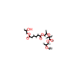 CC(O)COC(=O)CCCCC(=O)OCC(C)OC(C)(C)C(=O)OCC(C)OC(C)C